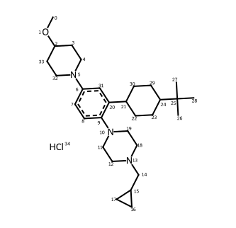 COC1CCN(c2ccc(N3CCN(CC4CC4)CC3)c(C3CCC(C(C)(C)C)CC3)c2)CC1.Cl